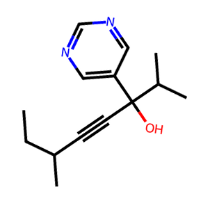 CCC(C)C#CC(O)(c1cncnc1)C(C)C